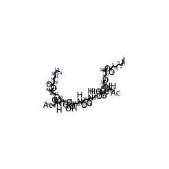 C/C=C\CCCC(=O)O[C@H](C)CCOCC(COP(=O)(O)OCCNC(=O)CC(=O)NCCOP(=O)(O)OCC(COCC[C@@H](C)OC(=O)CCC/C=C\C)NC(=O)CC(C)=O)NC(=O)CC(C)=O